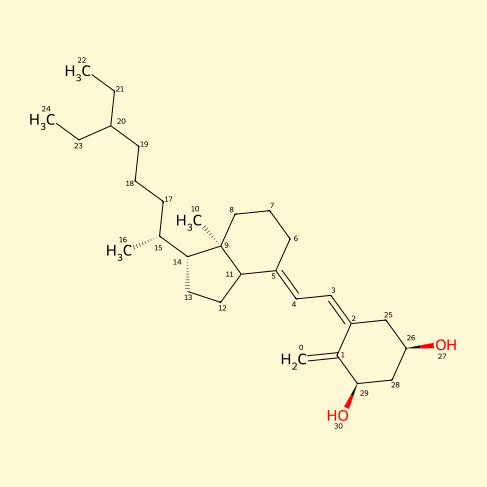 C=C1/C(=C\C=C2CCC[C@@]3(C)C2CC[C@@H]3[C@H](C)CCCC(CC)CC)C[C@@H](O)C[C@H]1O